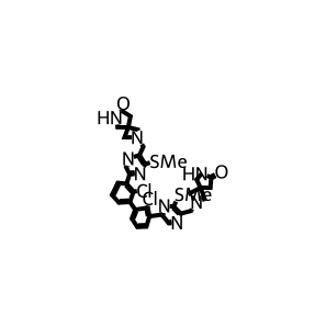 CSc1nc(-c2cccc(-c3cccc(-c4cnc(CN5CC6(CNC(=O)C6)C5)c(SC)n4)c3Cl)c2Cl)cnc1CN1CC2(CNC(=O)C2)C1